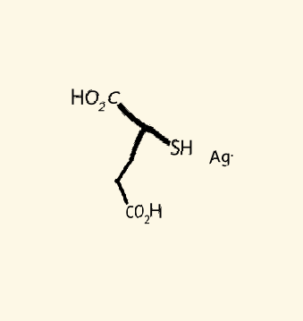 O=C(O)CC(S)C(=O)O.[Ag]